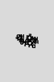 C=C1Nc2c(Cl)cc3cc(C(=O)NC4(C)CCOCC4)oc3c2C2(CCCCC2)N1